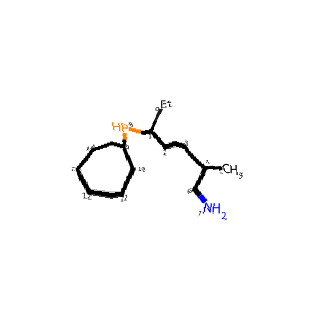 CCC(CCC(C)CN)PC1CCCCC1